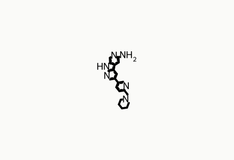 Nc1cc2c(cn1)[nH]c1ncc(-c3ccc(CN4CCCCC4)nc3)cc12